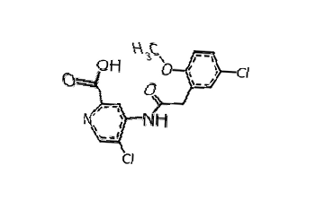 COc1ccc(Cl)cc1CC(=O)Nc1cc(C(=O)O)ncc1Cl